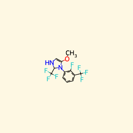 COC1=CNC(C(F)(F)F)N1c1cccc(C(F)(F)F)c1F